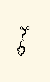 O=C(O)C=CSCc1ccccc1